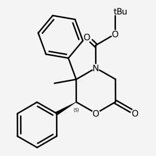 CC(C)(C)OC(=O)N1CC(=O)O[C@@H](c2ccccc2)C1(C)c1ccccc1